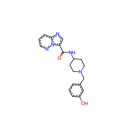 O=C(NC1CCN(Cc2cccc(O)c2)CC1)c1cnc2cccnn12